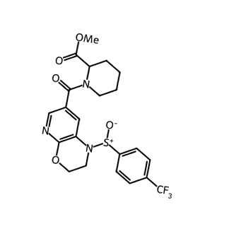 COC(=O)C1CCCCN1C(=O)c1cnc2c(c1)N([S+]([O-])c1ccc(C(F)(F)F)cc1)CCO2